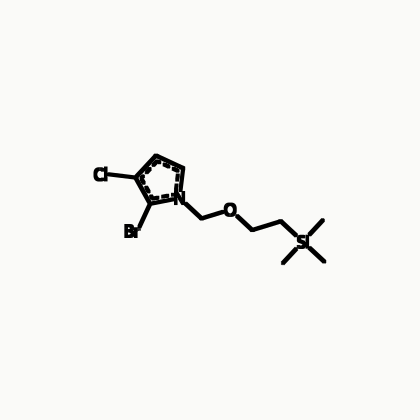 C[Si](C)(C)CCOCn1ccc(Cl)c1Br